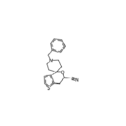 N#CC1Cc2sccc2C2(CCN(Cc3ccccc3)CC2)O1